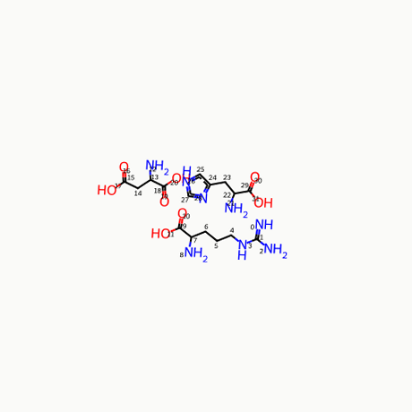 N=C(N)NCCCC(N)C(=O)O.NC(CC(=O)O)C(=O)O.NC(Cc1c[nH]cn1)C(=O)O